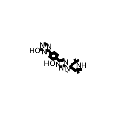 CN(c1ncc(-c2ccc(-c3ncnc(O)n3)cc2O)nn1)C1CC(C)(C)NC(C)(C)C1